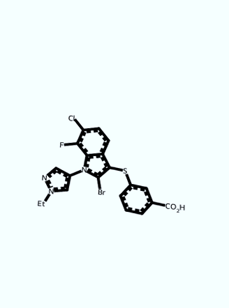 CCn1cc(-n2c(Br)c(Sc3cccc(C(=O)O)c3)c3ccc(Cl)c(F)c32)cn1